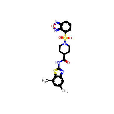 Cc1cc(C)c2sc(NC(=O)C3CCN(S(=O)(=O)c4cccc5nonc45)CC3)nc2c1